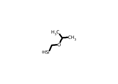 CC(C)OC[SiH]